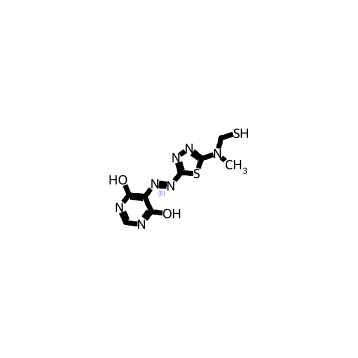 CN(CS)c1nnc(/N=N/c2c(O)ncnc2O)s1